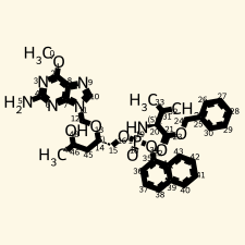 COc1nc(N)nc2c1ncn2CO[C@H](COP(=O)(N[C@H](C(=O)OCc1ccccc1)C(C)C)Oc1cccc2ccccc12)CC(C)O